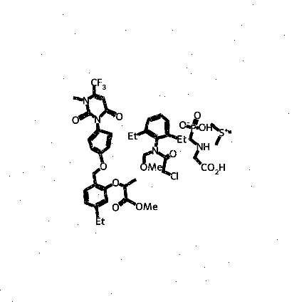 CCc1ccc(COc2ccc(-n3c(=O)cc(C(F)(F)F)n(C)c3=O)cc2)c(OC(C)C(=O)OC)c1.CCc1cccc(CC)c1N(COC)C(=O)CCl.C[S+](C)C.O=C(O)CNCP(=O)([O-])O